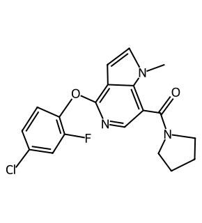 Cn1ccc2c(Oc3ccc(Cl)cc3F)ncc(C(=O)N3CCCC3)c21